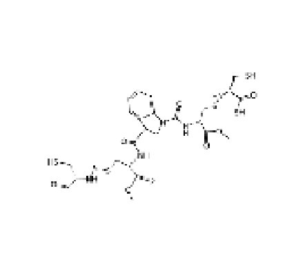 COC(=O)C(CSSN[C@H](C=O)CS)NC(=O)C1CN(C(=O)NC(CSN[C@@H](CS)C(=O)S)C(=O)OC)c2ccccc21